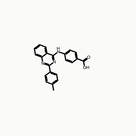 Cc1ccc(-c2nc(Nc3ccc(C(=O)O)cc3)c3ccccc3n2)cc1